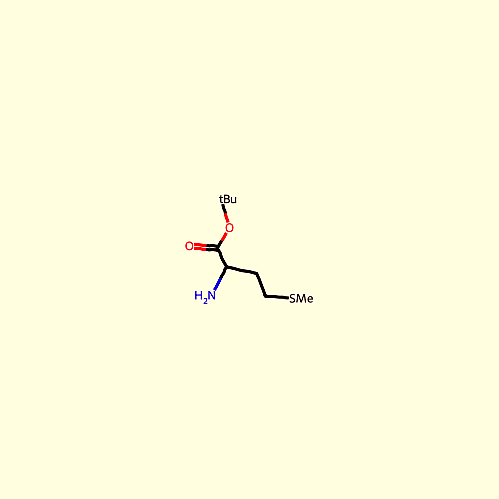 CSCCC(N)C(=O)OC(C)(C)C